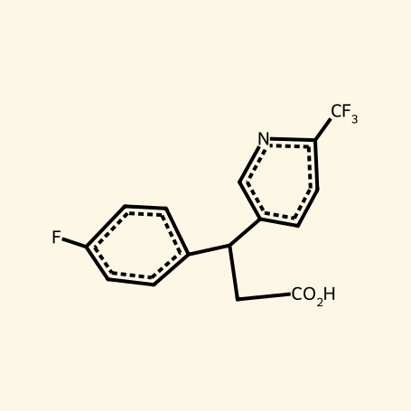 O=C(O)CC(c1ccc(F)cc1)c1ccc(C(F)(F)F)nc1